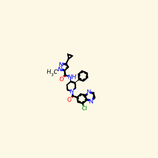 Cn1nc(C2CC2)cc1C(=O)N[C@@H]1CCN(C(=O)c2cc(Cl)c3nccnc3c2)C[C@@H]1c1ccccc1